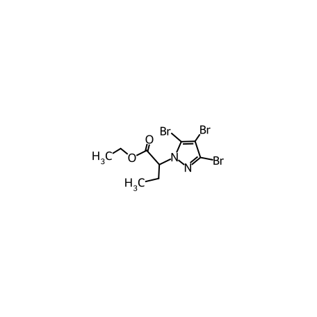 CCOC(=O)C(CC)n1nc(Br)c(Br)c1Br